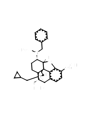 CCCCCN(Cc1ccccc1)[C@@H]1CC[C@@]2(O)[C@H]3Cc4ccc(O)c5c4[C@@]2(CCN3CC2CC2)[C@H]1O5.Cl.Cl